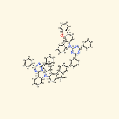 CC1(C)c2cc(-c3cccc(-c4nc(-c5ccccc5)nc(-n5c6ccccc6c6c7oc8ccccc8c7ccc65)n4)c3)ccc2-c2c1ccc1c2c2ccccc2n1-c1ccccc1-c1nc(-c2ccccc2)nc(-c2ccccc2)n1